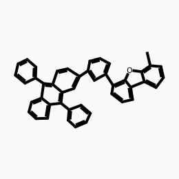 Cc1cccc2c1oc1c(-c3cccc(-c4ccc5c(-c6ccccc6)c6ccccc6c(-c6ccccc6)c5c4)c3)cccc12